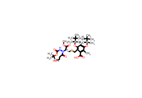 COC(=O)[C@H](CSCc1c(O[Si](C)(C)C(C)(C)C)cc(O[Si](C)(C)C(C)(C)C)c(C)c1C(=O)O)N(NC(=O)OC(C)(C)C)C(=O)CCO